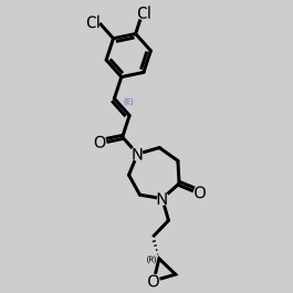 O=C(/C=C/c1ccc(Cl)c(Cl)c1)N1CCC(=O)N(CC[C@@H]2CO2)CC1